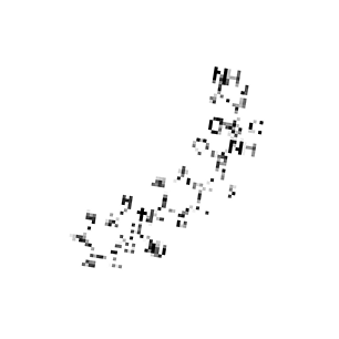 C[C@@H](C(=O)NS(=O)(=O)CCN)c1ccc(N2Cc3ccccc3C2=O)cc1